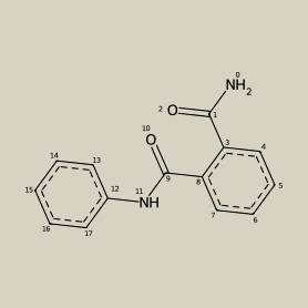 NC(=O)c1ccccc1C(=O)Nc1ccccc1